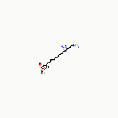 CCO[Si](CCCCCCCCCCCCC(N)CCN)(OCC)OCC